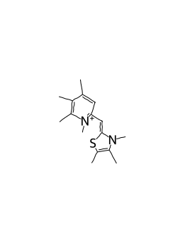 CC1=C(C)N(C)C(=Cc2cc(C)c(C)c(C)[n+]2C)S1